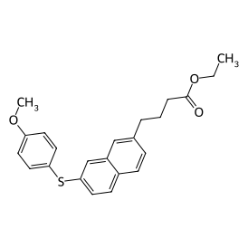 CCOC(=O)CCCc1ccc2ccc(Sc3ccc(OC)cc3)cc2c1